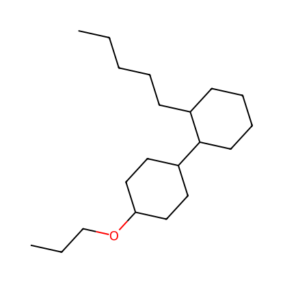 CCCCCC1CCCCC1C1CCC(OCCC)CC1